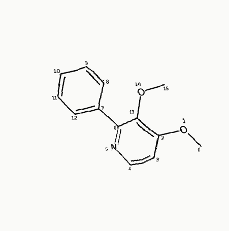 COc1ccnc(-c2[c]cccc2)c1OC